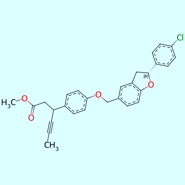 CC#CC(CC(=O)OC)c1ccc(OCc2ccc3c(c2)C[C@H](c2ccc(Cl)cc2)O3)cc1